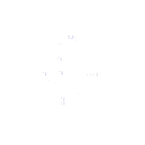 NC1CCN(c2cncc(-c3c[nH]c4ccc(C(=O)O)cc34)n2)CC1